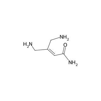 NCC(=CC(N)=O)CN